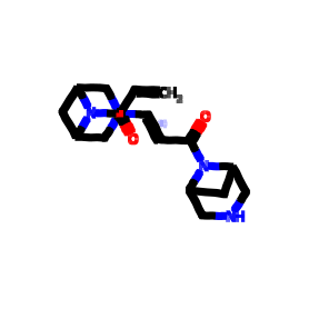 C=CC(=O)N1C2CC1CN(/C=C/C(=O)N1C3CNCC1C3)C2